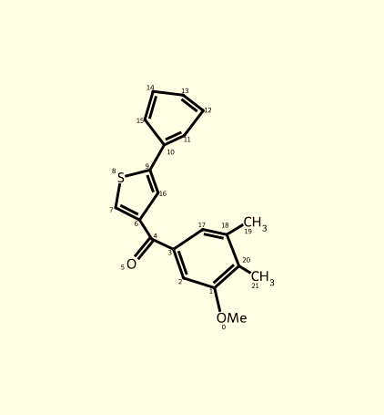 COc1cc(C(=O)c2csc(-c3ccccc3)c2)cc(C)c1C